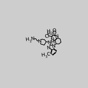 Cc1cccc2c1nc(NC1CCN(CCN)CC1)n2C1CCCc2ncc(Cl)nc21.O.O